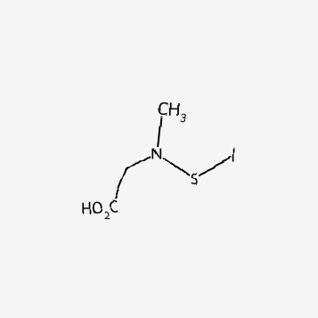 CN(CC(=O)O)SI